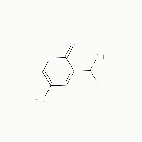 Cc1c[nH]c(=N)c(C(C)O)c1